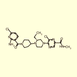 CC[C@H]1CN(c2ncc(C(=O)NC)nc2Cl)CCN1C1CCN(C(=O)c2ccc(Cl)nc2N)CC1